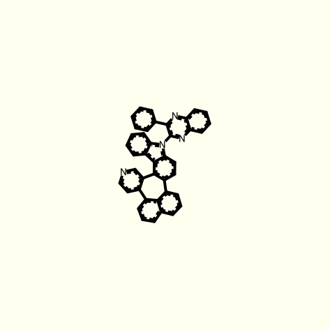 c1ccc(-c2nc3ccccc3nc2-n2c3ccccc3c3c4c(ccc32)-c2cccc3cccc(c23)-c2ccncc2-4)cc1